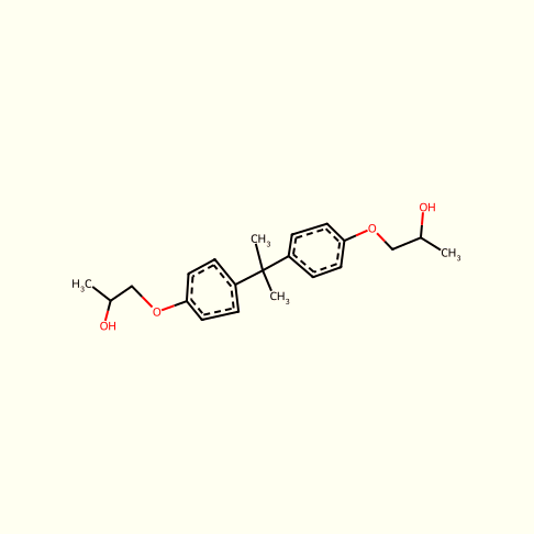 CC(O)COc1ccc(C(C)(C)c2ccc(OCC(C)O)cc2)cc1